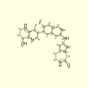 Cc1c(-c2cc3cc(Nc4cc5n(n4)CC(=O)NCC5)ncc3cc2F)cnc2c1NCCC2O